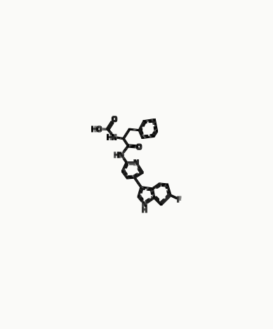 O=C(O)NC(Cc1ccccc1)C(=O)Nc1ccc(-c2c[nH]c3cc(F)ccc23)cn1